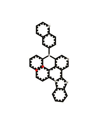 c1ccc(P(c2ccc3ncccc3c2)c2cncc3c2c2ccccc2n2c4ccccc4nc32)cc1